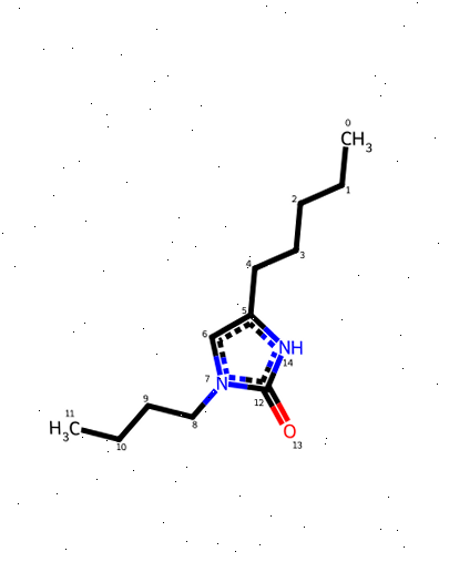 CCCCCc1cn(CCCC)c(=O)[nH]1